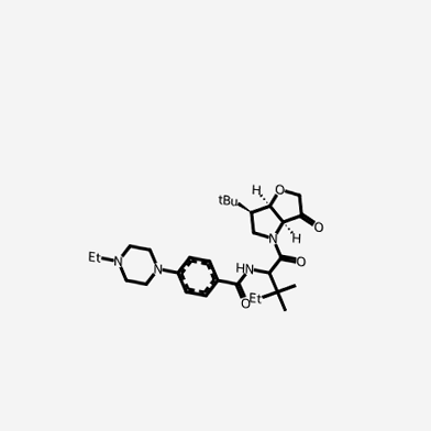 CCN1CCN(c2ccc(C(=O)NC(C(=O)N3C[C@@H](C(C)(C)C)[C@H]4OCC(=O)[C@H]43)C(C)(C)CC)cc2)CC1